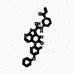 C=CC(=O)N1CCC[C@@H](NC(O)c2sc3nccc4c3c2NC(=O)N4c2ncc(Oc3ccccc3)cc2C)C1